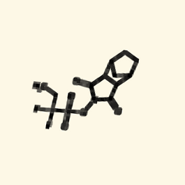 CCC(F)(F)S(=O)(=O)ON1C(=O)C2C3CCC(C3)C2C1=O